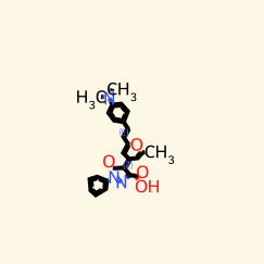 CC1=C/C(=C2/C(=O)N(c3ccccc3)N=C2C(=O)O)C=C(/C=C/c2ccc(N(C)C)cc2)O1